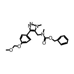 COCOc1ccc(-c2nnn(C)c2CN(C)C(=O)OCc2ccccc2)cc1